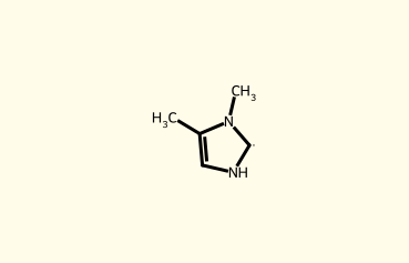 CC1=CN[CH]N1C